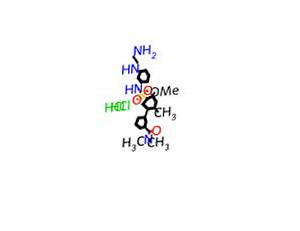 COc1cc(C)c(-c2cccc(C(=O)N(C)C)c2)cc1S(=O)(=O)Nc1cccc(NCCN)c1.Cl.Cl